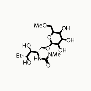 CC[C@@H](O)[C@@H](O)[C@H](COC1OC(COC)C(O)C(O)C1O)NC(=O)NC